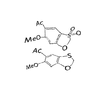 COc1cc2c(cc1C(C)=O)S(=O)(=O)CO2.COc1cc2c(cc1C(C)=O)SCO2